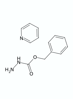 NNC(=O)OCc1ccccc1.c1ccncc1